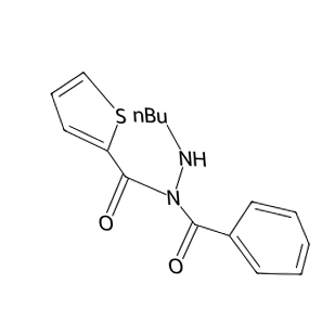 CCCCNN(C(=O)c1ccccc1)C(=O)c1cccs1